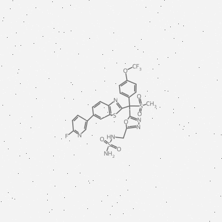 CS(=O)(=O)C(c1ccc(OC(F)(F)F)cc1)(c1nnc(CNS(N)(=O)=O)o1)c1nc2ccc(-c3ccc(F)nc3)cc2s1